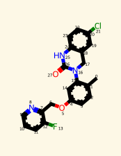 Cc1ccc(OCc2ncccc2F)cc1N1Cc2cc(Cl)ccc2NC1=O